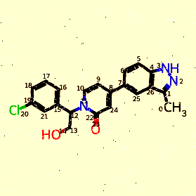 Cc1n[nH]c2ccc(-c3ccn(C(CO)c4cccc(Cl)c4)c(=O)c3)cc12